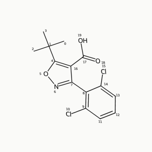 CC(C)(C)c1onc(-c2c(Cl)cccc2Cl)c1C(=O)O